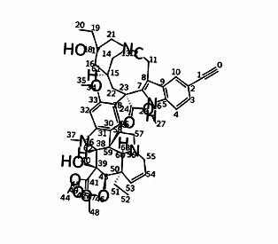 C#Cc1ccc2[nH]c3c(c2c1)CCN1C[C@H](C[C@@](O)(CC)C1)C[C@]3(C(=O)OC)c1cc2c(cc1OC)N(C)[C@H]1[C@@](O)(C(=O)OC)[C@H](OC(C)=O)[C@]3(CC)C=CCN4CC[C@]21[C@@H]43